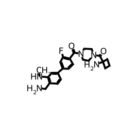 CNc1cc(-c2ccc(C(=O)N3CCN(C(=O)C4(N)CCC4)CC3)c(F)c2)ccc1CN